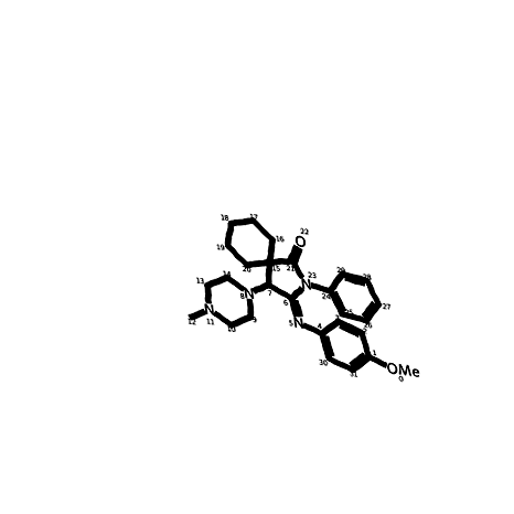 COc1ccc(N=C2C(N3CCN(C)CC3)C3(CCCCC3)C(=O)N2c2ccccc2)cc1